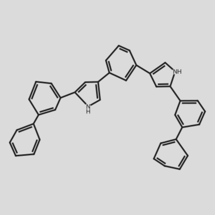 c1ccc(-c2cccc(-c3cc(-c4cccc(-c5c[nH]c(-c6cccc(-c7ccccc7)c6)c5)c4)c[nH]3)c2)cc1